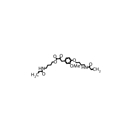 C=CC(=O)NCCCCOC(=O)C(=O)Cc1ccc(OCCCCNC(=O)C=C)c(OC)c1